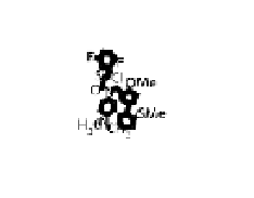 COc1ccc(-c2ccccc2SC)cc1CN(C(=O)c1sc2c(F)ccc(F)c2c1Cl)[C@H]1CC[C@H](N(C)C)CC1